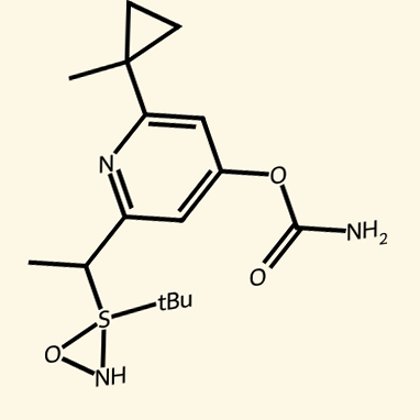 CC(c1cc(OC(N)=O)cc(C2(C)CC2)n1)S1(C(C)(C)C)NO1